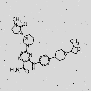 CC1OCC1N1CCC(c2ccc(Nc3nc(N4CCC[C@@H](N5CCN(C)C5=O)C4)cnc3C(N)=O)cc2)CC1